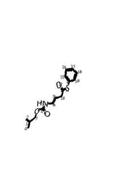 CC(C)COC(=O)NCCCC(=O)Sc1ccccc1